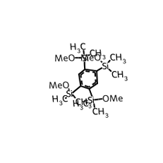 CO[Si](C)(C)c1cc([Si](C)(C)OC)c([Si](C)(C)OC)cc1[Si](C)(C)OC